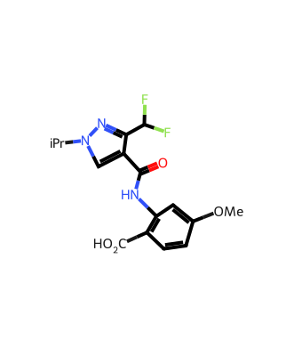 COc1ccc(C(=O)O)c(NC(=O)c2cn(C(C)C)nc2C(F)F)c1